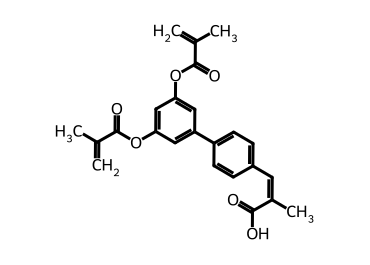 C=C(C)C(=O)Oc1cc(OC(=O)C(=C)C)cc(-c2ccc(C=C(C)C(=O)O)cc2)c1